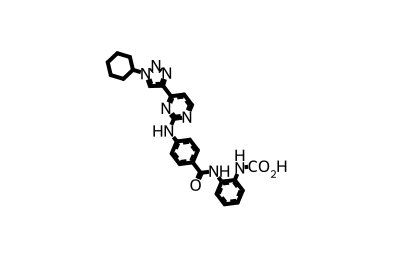 O=C(O)Nc1ccccc1NC(=O)c1ccc(Nc2nccc(-c3cn(C4CCCCC4)nn3)n2)cc1